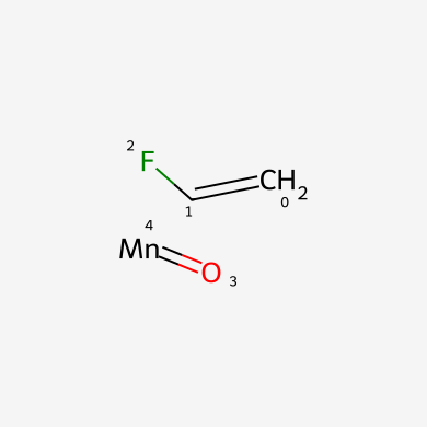 C=CF.[O]=[Mn]